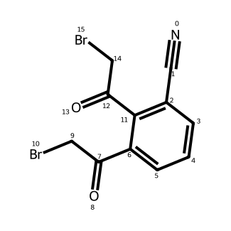 N#Cc1cccc(C(=O)CBr)c1C(=O)CBr